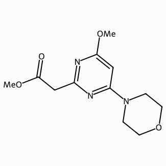 COC(=O)Cc1nc(OC)cc(N2CCOCC2)n1